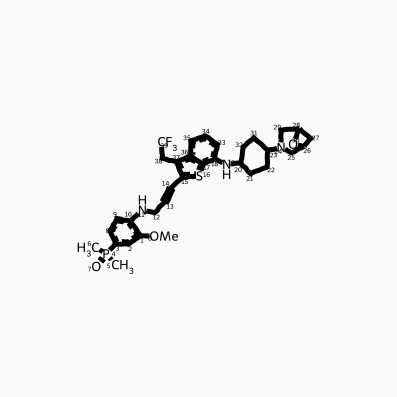 COc1cc(P(C)(C)=O)ccc1NCC#Cc1sc2c(NC3CCC(N4CC5CC(C4)O5)CC3)cccc2c1CC(F)(F)F